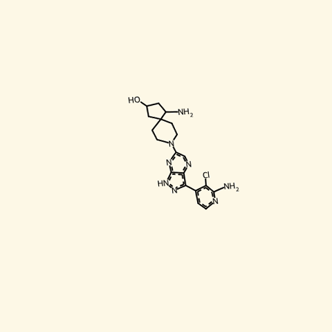 Nc1nccc(-c2n[nH]c3nc(N4CCC5(CC4)CC(O)CC5N)cnc23)c1Cl